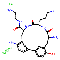 Cl.Cl.Cl.Cl.NCCC[C@@H]1NC(=O)[C@@H](N)Cc2cc(ccc2O)-c2ccc(N)c(c2)C[C@@H](C(=O)NCCN)NC1=O